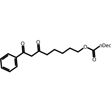 CCCCCCCCCCC(=O)OCCCCCC(=O)CC(=O)c1ccccc1